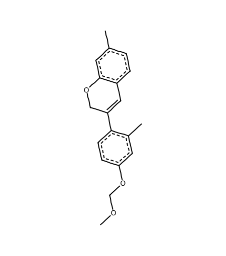 COCOc1ccc(C2=Cc3ccc(C)cc3OC2)c(C)c1